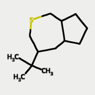 CC(C)(C)C1CSCC2CCCC2C1